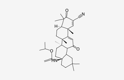 C=C(N[C@]12CCC(C)(C)CC1C1C(=O)C=C3[C@@]4(C)C=C(C#N)C(=O)C(C)(C)[C@@H]4CC[C@@]3(C)[C@]1(C)CC2)OC(C)C